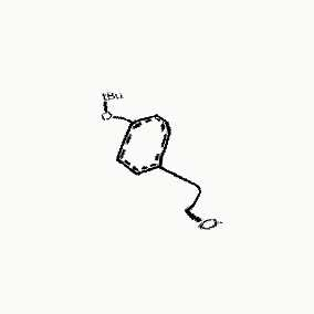 CC(C)(C)Oc1ccc(CC[O])cc1